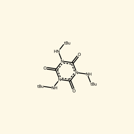 CC(C)(C)Nn1c(=O)n(NC(C)(C)C)c(=O)n(NC(C)(C)C)c1=O